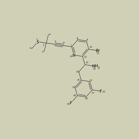 CSC(C)(C)C#Cc1ccc(Br)c(C(N)Cc2cc(F)cc(F)c2)n1